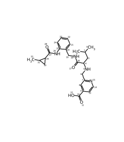 CC(C)CC(NCc1cc(C(=O)O)ccn1)C(=O)NCc1ccccc1NC(=O)C1CC1C